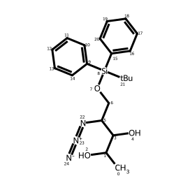 CC(O)C(O)C(CO[Si](c1ccccc1)(c1ccccc1)C(C)(C)C)N=[N+]=[N-]